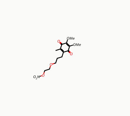 COC1=C(OC)C(=O)C(CCCOCCO[N+](=O)[O-])=C(C)C1=O